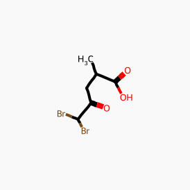 CC(CC(=O)C(Br)Br)C(=O)O